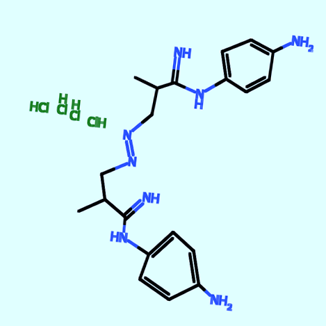 CC(CN=NCC(C)C(=N)Nc1ccc(N)cc1)C(=N)Nc1ccc(N)cc1.Cl.Cl.Cl.Cl